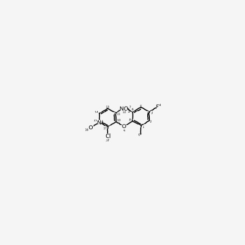 Cc1cc(F)cc(C)c1Oc1c([N+](=O)[O-])cc[n+]([O-])c1Cl